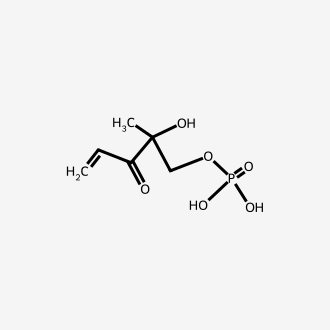 C=CC(=O)C(C)(O)COP(=O)(O)O